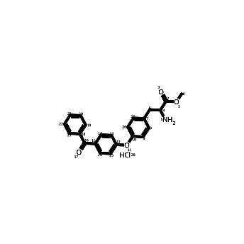 COC(=O)C(N)Cc1ccc(Oc2ccc(C(=O)c3ccccc3)cc2)cc1.Cl